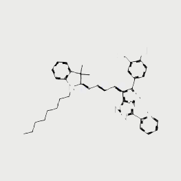 CCCCCCCCN1/C(=C/C=C/C=c2/c(-c3ccc(Cl)c(Cl)c3)nn3c(-c4ccccn4)nnc23)C(C)(C)c2ccccc21